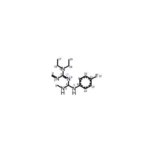 C=N/C(=N\C(NC)Nc1ccc(F)cc1)N(CC)CC